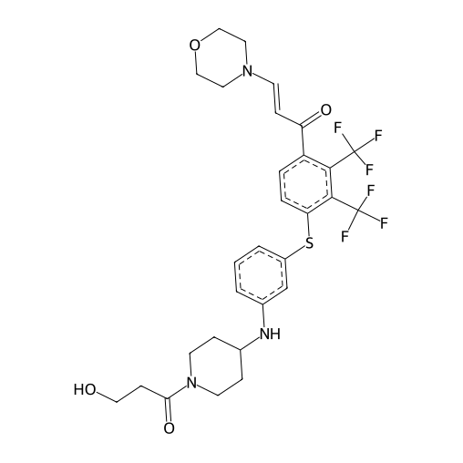 O=C(C=CN1CCOCC1)c1ccc(Sc2cccc(NC3CCN(C(=O)CCO)CC3)c2)c(C(F)(F)F)c1C(F)(F)F